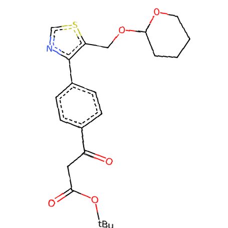 CC(C)(C)OC(=O)CC(=O)c1ccc(-c2ncsc2COC2CCCCO2)cc1